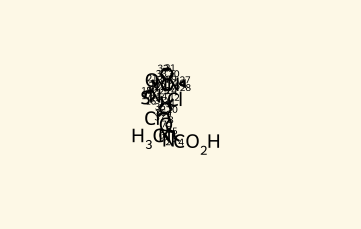 Cn1nc(C(=O)O)cc1OCc1cc(Cl)c(CN2CSC[C@H]2C(=O)N2CCN(C3CC3)c3ccccc32)cc1Cl